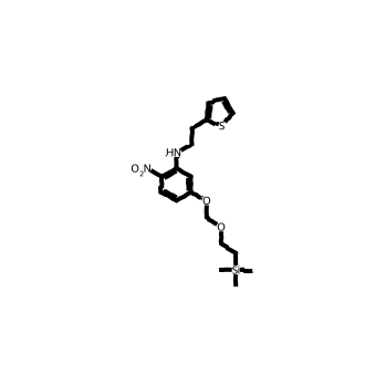 C[Si](C)(C)CCOCOc1ccc([N+](=O)[O-])c(NCCc2cccs2)c1